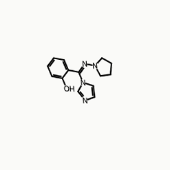 Oc1ccccc1/C(=N/N1CCCC1)n1ccnc1